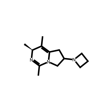 CC1=N[C@@H](C)C(C)=C2CC(N3CCC3)CN12